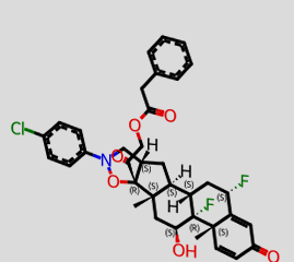 C[C@]12C=CC(=O)C=C1[C@@H](F)C[C@H]1[C@@H]3C[C@H]4CN(c5ccc(Cl)cc5)O[C@@]4(C(=O)COC(=O)Cc4ccccc4)[C@@]3(C)C[C@H](O)[C@@]12F